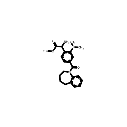 CN(C)c1cc(C(=O)N2CCCCc3ccccc32)ccc1C(N)C(=O)OC(C)(C)C